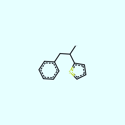 [CH2]C(Cc1ccccc1)c1cccs1